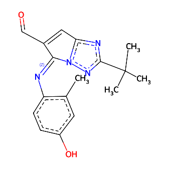 Cc1cc(O)ccc1/N=C1/C(C=O)=Cc2nc(C(C)(C)C)nn21